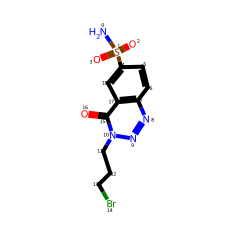 NS(=O)(=O)c1ccc2nnn(CCCBr)c(=O)c2c1